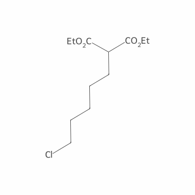 CCOC(=O)C(CCCCCCl)C(=O)OCC